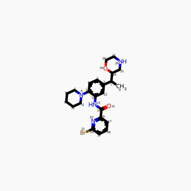 CC(c1ccc(N2CCCCC2)c(NC(=O)c2cccc(Br)n2)c1)C1CNCCO1